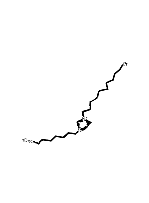 CCCCCCCCCCCCCCCCCn1cc[n+](CCCCCCCCCCC(C)C)c1